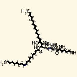 CCCCCCCC/C=C\CCCCCCCC(=O)N[C@@H](CN(N)/C=C(\N)CNC(=O)C(N)CCCCN)[C@H](O)[C@H](O)CCCCCCCCCCCCCC